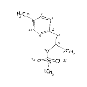 Cc1ccc(CC(C)OS(C)(=O)=O)cc1